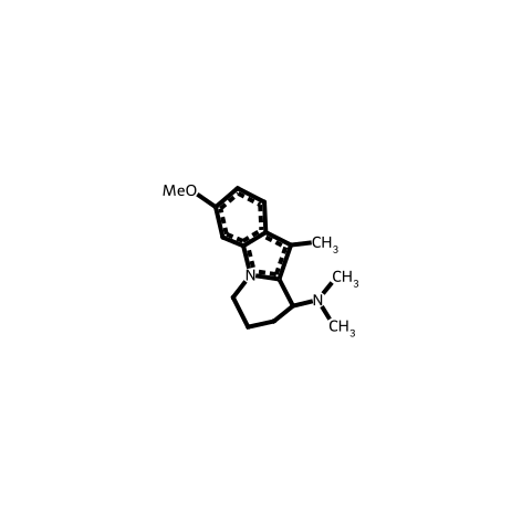 COc1ccc2c(C)c3n(c2c1)CCCC3N(C)C